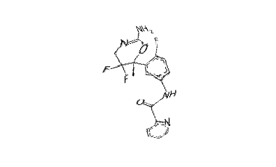 C[C@]1(c2cc(NC(=O)c3ccccn3)ccc2F)OC(N)=NCC1(F)F